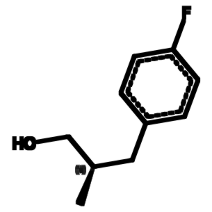 C[C@@H](CO)Cc1ccc(F)cc1